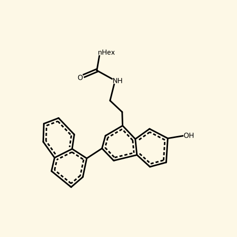 CCCCCCC(=O)NCCc1cc(-c2cccc3ccccc23)cc2ccc(O)cc12